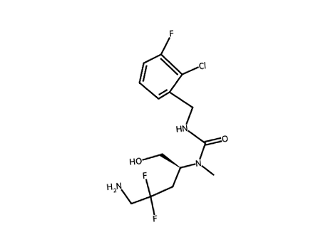 CN(C(=O)NCc1cccc(F)c1Cl)[C@H](CO)CC(F)(F)CN